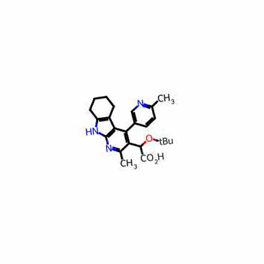 Cc1ccc(-c2c(C(OC(C)(C)C)C(=O)O)c(C)nc3[nH]c4c(c23)CCCC4)cn1